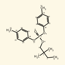 CCC(C)(C)COP(=O)(Oc1ccc(C)cc1)Oc1ccc(C)cc1